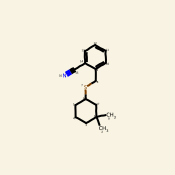 CC1(C)CCCC(SCc2ccccc2C#N)C1